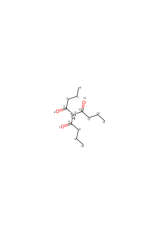 CCC[C](=O)[SnH]([C](=O)CCC)[C](=O)CCC